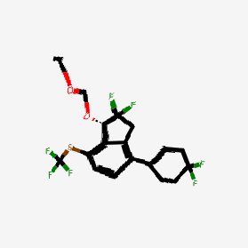 CCOCO[C@H]1c2c(SC(F)(F)F)ccc(C3CCC(F)(F)CC3)c2CC1(F)F